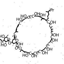 C/C1=C\C=C\C[C@@H](O)[C@H](C)[C@@H](O)CCC[C@@H](O)C[C@H](O)/C(C)=C/C(CCCC(C)C(C)C)CC(O)CCCC[C@H](O)C[C@@H](O)[C@@H](C)CC[C@@H](O)[C@H](C)[C@@H](O)CCC[C@H](O)C[C@H](O)/C=C/C(C)OC(=O)CC2(O)O[C@@H](C[C@H](OC3O[C@H](C)[C@@H](O)[C@H](N(C)C)[C@H]3O)[C@H]2C)[C@@H](C)C1